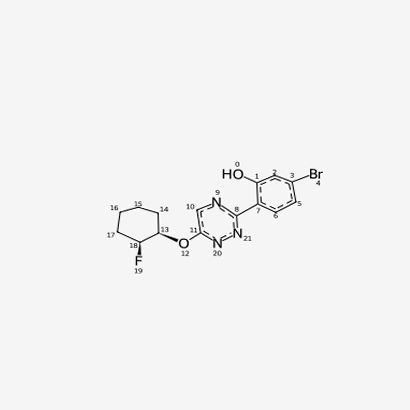 Oc1cc(Br)ccc1-c1ncc(O[C@@H]2CCCC[C@@H]2F)nn1